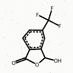 O=C1OC(O)c2cc(C(F)(F)F)ccc21